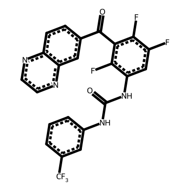 O=C(Nc1cccc(C(F)(F)F)c1)Nc1cc(F)c(F)c(C(=O)c2ccc3nccnc3c2)c1F